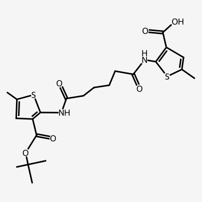 Cc1cc(C(=O)O)c(NC(=O)CCCCC(=O)Nc2sc(C)cc2C(=O)OC(C)(C)C)s1